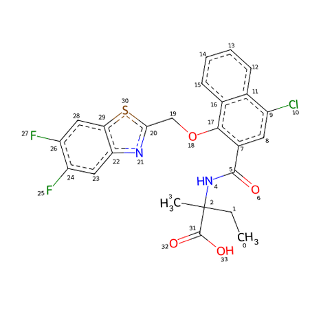 CCC(C)(NC(=O)c1cc(Cl)c2ccccc2c1OCc1nc2cc(F)c(F)cc2s1)C(=O)O